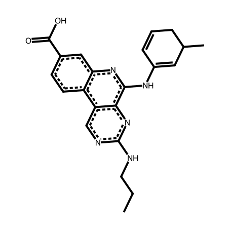 CCCNc1ncc2c(n1)c(NC1=CC(C)CC=C1)nc1cc(C(=O)O)ccc12